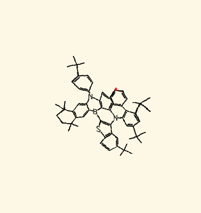 Cc1cc2c3c(c1)N(c1cc(C(C)(C)C)cc(C(C)(C)C)c1-c1ccccc1)c1c(sc4ccc(C(C)(C)C)cc14)B3c1cc3c(cc1N2c1ccc(C(C)(C)C)cc1)C(C)(C)CCC3(C)C